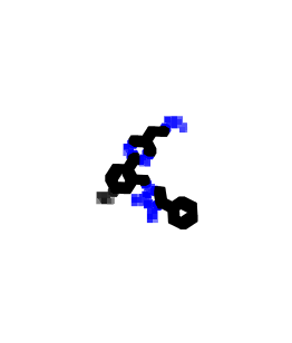 N#Cc1ccc(-c2ncc(CCN)cn2)c(CN2C=C(c3ccccc3)NN2)c1